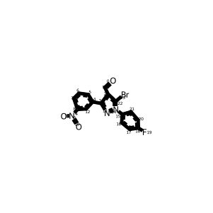 O=Cc1c(-c2cccc([N+](=O)[O-])c2)nn(-c2ccc(F)cc2)c1Br